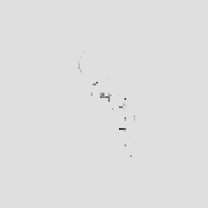 CCCCC(=O)O[C@H]1CC[C@@H](OC(=O)CC(C)(C)CCC)C1